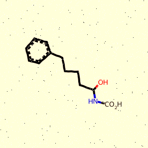 O=C(O)NC(O)CCCCc1ccccc1